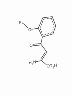 CCOc1ccccc1C(=O)C=C(N)C(=O)O